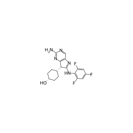 Nc1ncc2c(n1)C([C@H]1CC[C@@H](O)CC1)C(Nc1c(F)cc(F)cc1F)=N2